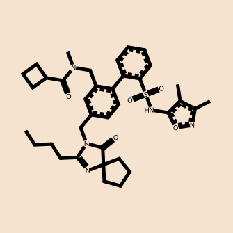 CCCCC1=NC2(CCCC2)C(=O)N1Cc1ccc(-c2ccccc2S(=O)(=O)Nc2onc(C)c2C)c(CN(C)C(=O)C2CCC2)c1